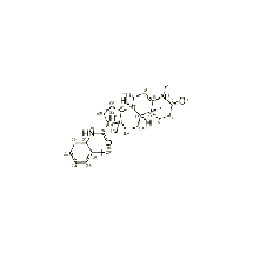 CN1C(=O)CC[C@@]2(C)C1=CC[C@@H]1[C@H]2CC[C@]2(C)C(C(=O)Nc3ccccc3F)CC[C@@H]12